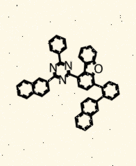 c1ccc(-c2nc(-c3ccc4ccccc4c3)nc(-c3ccc(-c4ccccc4-c4ccc5ccccc5c4)c4oc5ccccc5c34)n2)cc1